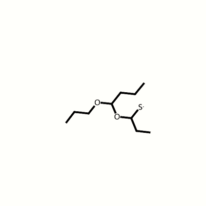 CCCOC(CCC)OC([S])CC